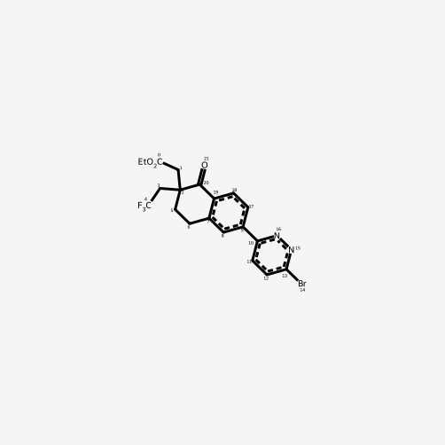 CCOC(=O)CC1(CC(F)(F)F)CCc2cc(-c3ccc(Br)nn3)ccc2C1=O